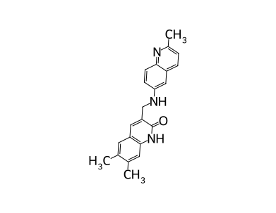 Cc1ccc2cc(NCc3cc4cc(C)c(C)cc4[nH]c3=O)ccc2n1